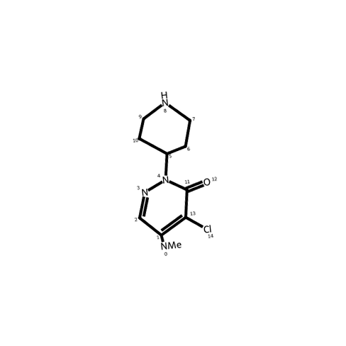 CNc1cnn(C2CCNCC2)c(=O)c1Cl